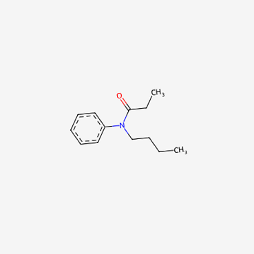 CCCCN(C(=O)CC)c1ccccc1